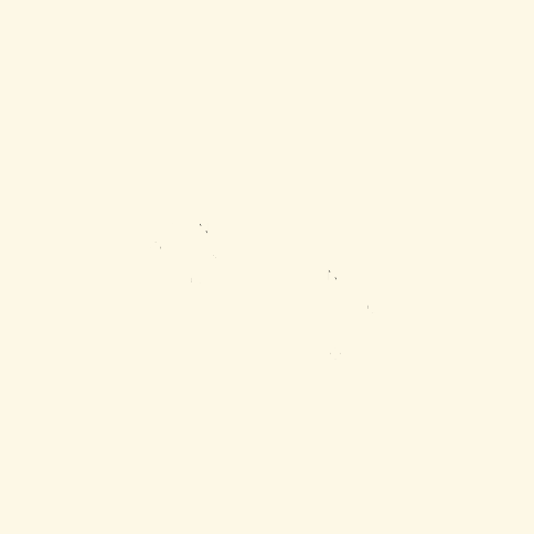 O=C1C=CCCN1C(=O)C=Cc1cnc2c(c1)OCCO2